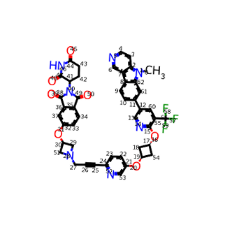 Cn1c2ccncc2c2ccc(-c3cnc(O[C@H]4C[C@H](Oc5ccc(C#CCN6CC(Oc7ccc8c(c7)C(=O)N(C7CCC(=O)NC7=O)C8=O)C6)nc5)C4)c(C(F)(F)F)c3)cc21